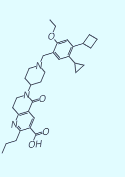 CCCc1nc2c(cc1C(=O)O)C(=O)N(C1CCN(Cc3cc(C4CC4)c(C4CCC4)cc3OCC)CC1)CC2